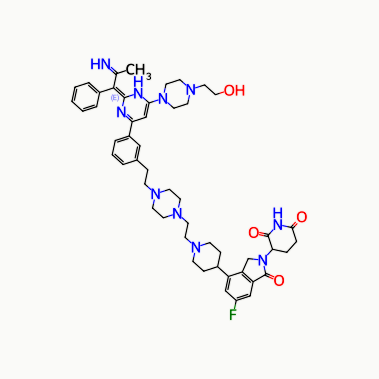 CC(=N)/C(=C1/N=C(c2cccc(CCN3CCN(CCN4CCC(c5cc(F)cc6c5CN(C5CCC(=O)NC5=O)C6=O)CC4)CC3)c2)C=C(N2CCN(CCO)CC2)N1)c1ccccc1